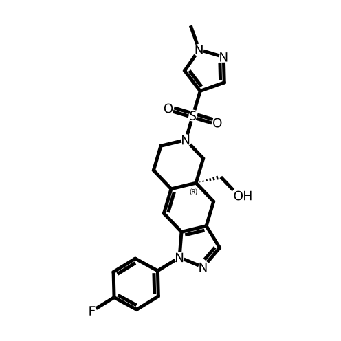 Cn1cc(S(=O)(=O)N2CCC3=Cc4c(cnn4-c4ccc(F)cc4)C[C@]3(CO)C2)cn1